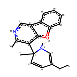 CCC1=CN(C)C(C)(c2c(C)ncc3c2oc2ccccc23)C=C1